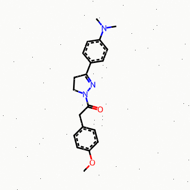 COc1ccc(CC(=O)N2CCC(c3ccc(N(C)C)cc3)=N2)cc1